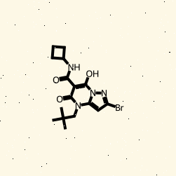 CC(C)(C)Cn1c(=O)c(C(=O)NC2CCC2)c(O)n2nc(Br)cc12